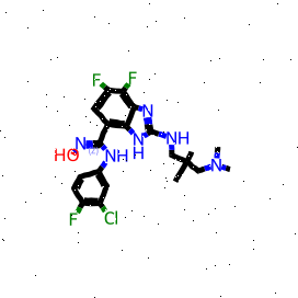 CN(C)CC(C)(C)CNc1nc2c(F)c(F)cc(/C(=N/O)Nc3ccc(F)c(Cl)c3)c2[nH]1